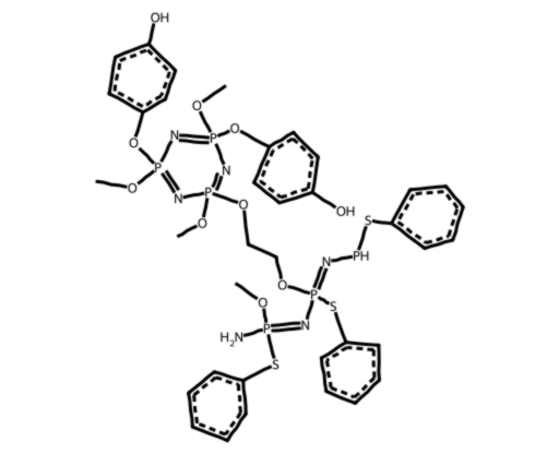 COP1(OCCOP(N=P(N)(OC)Sc2ccccc2)(=NPSc2ccccc2)Sc2ccccc2)=NP(OC)(Oc2ccc(O)cc2)=NP(OC)(Oc2ccc(O)cc2)=N1